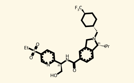 CCS(=O)(=O)c1ccc([C@H](CO)NC(=O)c2ccc3c(c2)CN(C[C@H]2CC[C@H](C(F)(F)F)CC2)[C@@H]3C(C)C)nc1